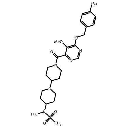 COc1c(NCc2ccc(C(C)(C)C)cc2)ncnc1C(=O)N1CCC(N2CCC(N(C)S(C)(=O)=O)CC2)CC1